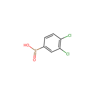 O=S(O)c1ccc(Cl)c(Cl)c1